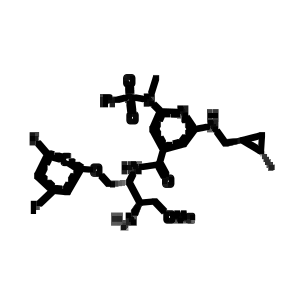 COC[C@@H](N)[C@H](COc1cc(F)cc(F)c1)NC(=O)c1cc(NC[C@H]2C[C@@H]2C)nc(N(C)S(=O)(=O)C(C)C)c1